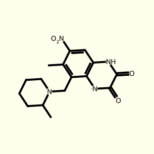 Cc1c([N+](=O)[O-])cc2c(c1CN1CCCCC1C)[N]C(=O)C(=O)N2